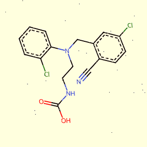 N#Cc1ccc(Cl)cc1CN(CCNC(=O)O)c1ccccc1Cl